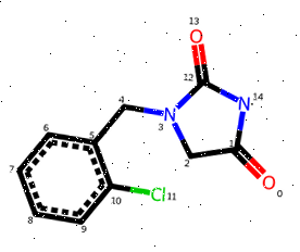 O=C1CN(Cc2ccccc2Cl)C(=O)[N]1